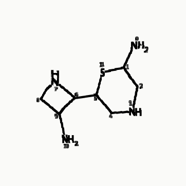 NC1CNCC(C2NCC2N)S1